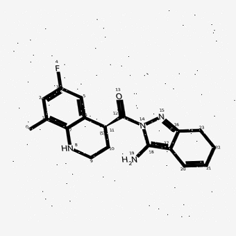 Cc1cc(F)cc2c1NCC[C@@H]2C(=O)n1nc2c(c1N)C=CCC2